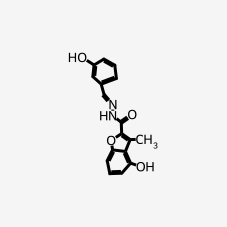 Cc1c(C(=O)N/N=C/c2cccc(O)c2)oc2cccc(O)c12